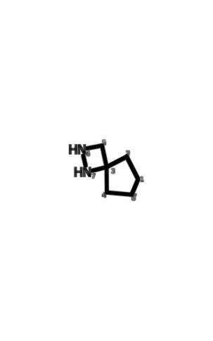 [CH]1CCC2(C1)CNN2